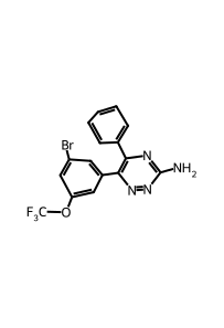 Nc1nnc(-c2cc(Br)cc(OC(F)(F)F)c2)c(-c2ccccc2)n1